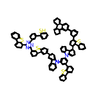 Sc1ccccc1-c1cccc(-c2nc(-c3cccc4c3sc3ccccc34)nc(-c3cccc4c3sc3ccc(-c5ccc6c(c5)c5ccccc5n6-c5cc(-c6cccc7c6sc6ccccc67)cc(-n6c7ccccc7c7c(-c8ccc(-c9cccc(-c%10ccc%11c%12ccccc%12c%12ccccc%12c%11c%10)c9)c9sc%10ccccc%10c89)cccc76)c5)cc34)n2)c1